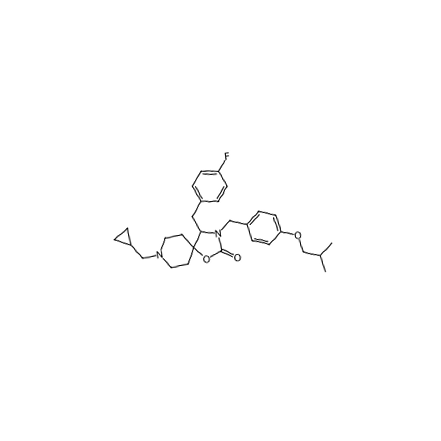 CC(C)COc1ccc(CN2C(=O)OC3(CCN(CC4CC4)CC3)C2Cc2ccc(F)cc2)cc1